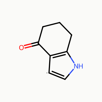 O=C1CCCc2[nH]c[c]c21